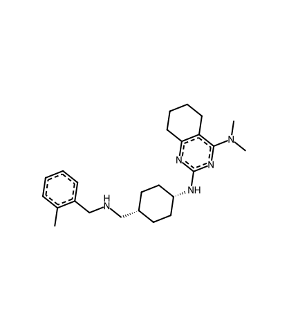 Cc1ccccc1CNC[C@H]1CC[C@@H](Nc2nc3c(c(N(C)C)n2)CCCC3)CC1